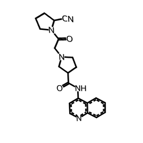 N#CC1CCCN1C(=O)CN1CCC(C(=O)Nc2ccnc3ccccc23)C1